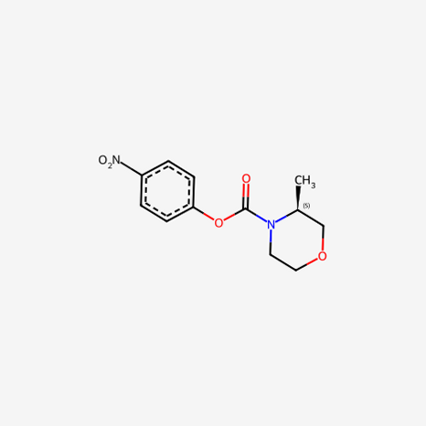 C[C@H]1COCCN1C(=O)Oc1ccc([N+](=O)[O-])cc1